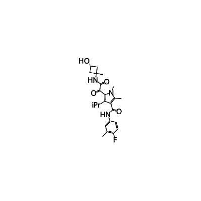 Cc1cc(NC(=O)c2c(C(C)C)c(C(=O)C(=O)N[C@]3(C)C[C@H](O)C3)n(C)c2C)ccc1F